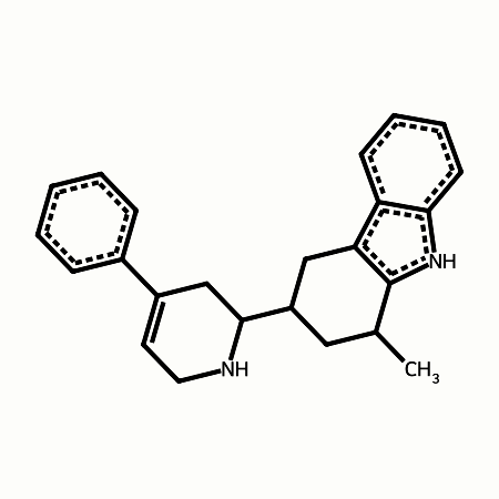 CC1CC(C2CC(c3ccccc3)=CCN2)Cc2c1[nH]c1ccccc21